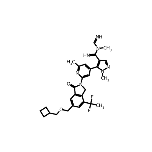 Cc1cc(-c2c(C(=N)N(C)C=N)cnn2C)cc(N2Cc3c(cc(COCC4CCC4)cc3C(C)(F)F)C2=O)n1